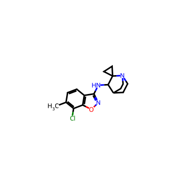 Cc1ccc2c(NC3C4CCN(CC4)C34CC4)noc2c1Cl